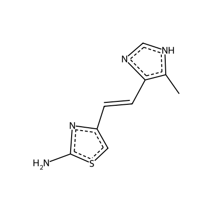 Cc1[nH]cnc1C=Cc1csc(N)n1